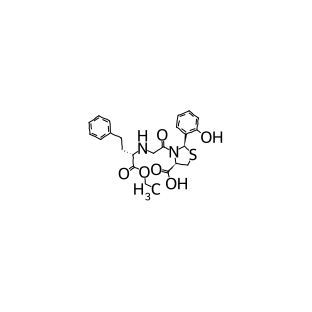 CCOC(=O)[C@H](CCc1ccccc1)NCC(=O)N1[C@@H](c2ccccc2O)SC[C@H]1C(=O)O